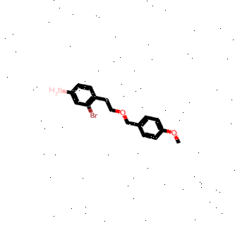 Bc1ccc(CCOCc2ccc(OC)cc2)c(Br)c1